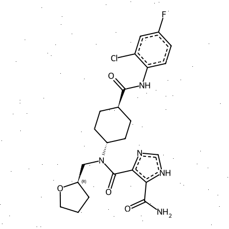 NC(=O)c1[nH]cnc1C(=O)N(C[C@H]1CCCO1)[C@H]1CC[C@H](C(=O)Nc2ccc(F)cc2Cl)CC1